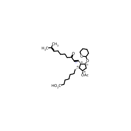 CC(=O)O[C@@H]1C[C@H](OC2CCCCO2)[C@H](/C=C/C(=O)CCCCC=C(C)C)[C@H]1CCCCCCC(=O)O